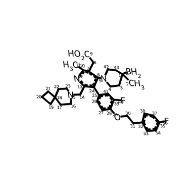 BC1(C)CCN(c2c(CC(=O)O)c(C)nc(CN3CCC4(CCC4)CC3)c2-c2ccc(OCCc3ccc(F)cc3)c(F)c2)CC1